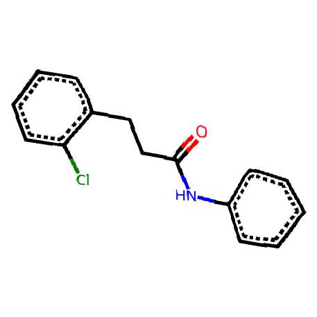 O=C(CCc1ccccc1Cl)Nc1ccccc1